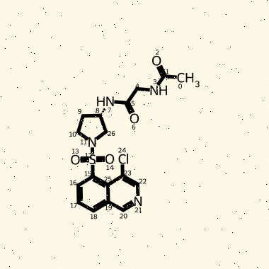 CC(=O)NCC(=O)N[C@H]1CCN(S(=O)(=O)c2cccc3cncc(Cl)c23)C1